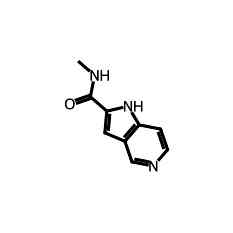 CNC(=O)c1cc2cnccc2[nH]1